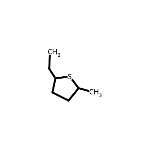 CCC1CCC(C)S1